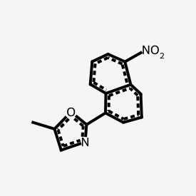 Cc1cnc(-c2cccc3c([N+](=O)[O-])cccc23)o1